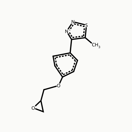 Cc1snnc1-c1ccc(OCC2CO2)cc1